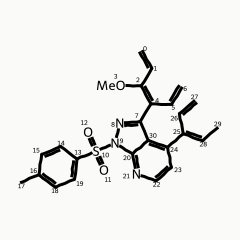 C=C/C(OC)=C(\C=C)c1nn(S(=O)(=O)c2ccc(C)cc2)c2nccc(/C(C=C)=C/C)c12